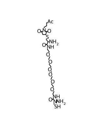 CC(=O)CCCN1C(=O)CC(SCC(N)C(=O)NCCOCCOCCOCOCCOCCOCCNC(=O)N(N)CS)C1=O